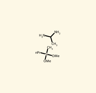 CC(N)N.CCC[Si](C)(OC)OC